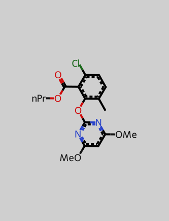 CCCOC(=O)c1c(Cl)ccc(C)c1Oc1nc(OC)cc(OC)n1